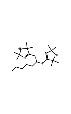 CCCCCC(SC1=NC(C)(C)NC1(C)C)SC1=NC(C)(C)NC1(C)C